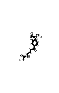 Cn1c(=O)oc2cc(C(=O)CCCNC(=O)O)ccc21